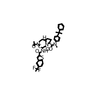 CC(=O)N1CC[C@H]2CC[C@@H](C(=O)N(C)c3ccc(C(C)(C)c4ccccc4)cc3)N2C(=O)C(NC(=O)c2cc3cc(C(C)(F)F)ccc3s2)C1